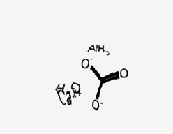 O.O=C([O-])[O-].[AlH3].[Ca+2]